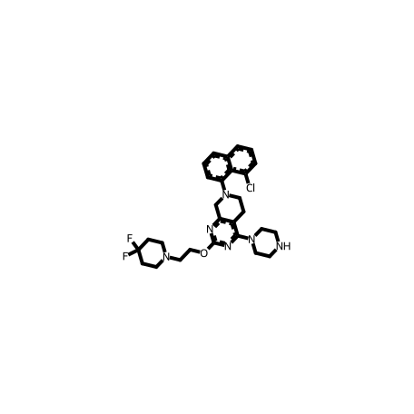 FC1(F)CCN(CCOc2nc3c(c(N4CCNCC4)n2)CCN(c2cccc4cccc(Cl)c24)C3)CC1